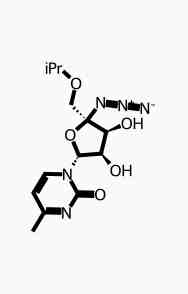 Cc1ccn([C@@H]2O[C@@](COC(C)C)(N=[N+]=[N-])[C@@H](O)[C@H]2O)c(=O)n1